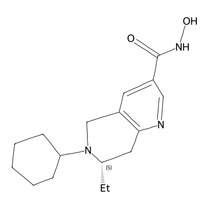 CC[C@H]1Cc2ncc(C(=O)NO)cc2CN1C1CCCCC1